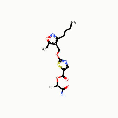 CCCCc1noc(C)c1COc1ncc(C(=O)OC(C)C(N)=O)s1